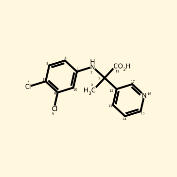 CC(Nc1ccc(Cl)c(Cl)c1)(C(=O)O)c1cccnc1